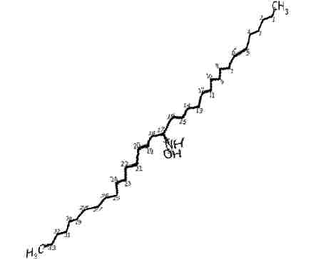 CCCCCCCCCCCCCCCCCC(CCCCCCCCCCCCCCCCC)NO